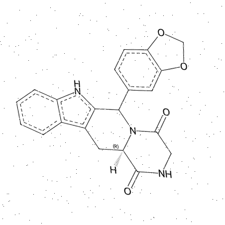 O=C1NCC(=O)N2C(c3ccc4c(c3)OCO4)c3[nH]c4ccccc4c3C[C@H]12